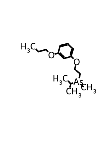 CCCOc1cccc(OCC[As](C)C(C)C)c1